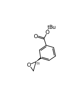 CC(C)(C)OC(=O)c1cccc([C@H]2CO2)c1